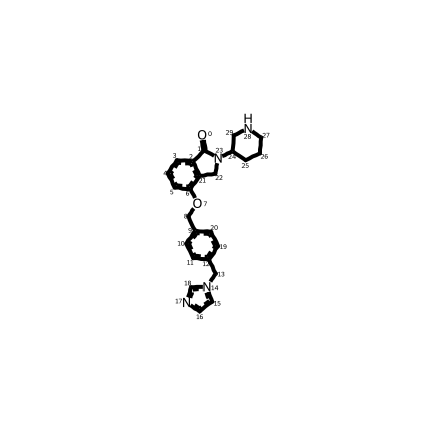 O=C1c2cccc(OCc3ccc(Cn4ccnc4)cc3)c2CN1C1CCCNC1